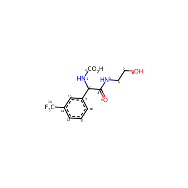 O=C(O)NC(C(=O)NCCO)c1cccc(C(F)(F)F)c1